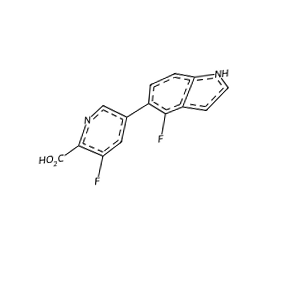 O=C(O)c1ncc(-c2ccc3[nH]ccc3c2F)cc1F